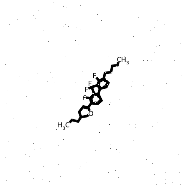 CCCCCc1ccc2c(c1F)C(F)(F)c1c-2ccc(C2=CCC(CCC)CO2)c1F